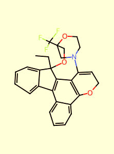 CCC1(OCC(F)(F)F)c2ccccc2-c2c1c1c(c3ccccc23)OCC=C1N1CCOCC1